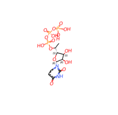 CC(OP(=O)(O)OP(=O)(O)OP(=O)(O)O)[C@H]1O[C@@H](n2ccc(=O)[nH]c2=O)[C@H](O)[C@@H]1O